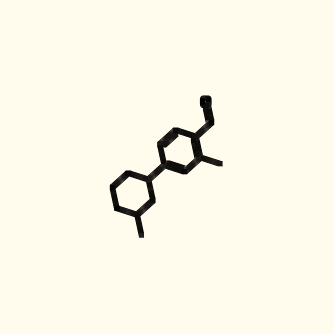 Cc1cc(C2CCCC(C)C2)ccc1C=O